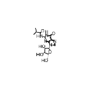 CC(C)C(=O)Nc1nc2c(ncn2[C@@H]2O[C@H](CO)[C@@H](O)[C@H]2O)c(=O)[nH]1